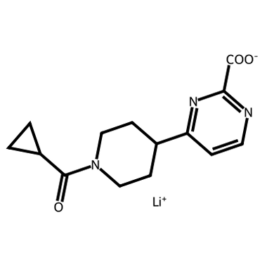 O=C([O-])c1nccc(C2CCN(C(=O)C3CC3)CC2)n1.[Li+]